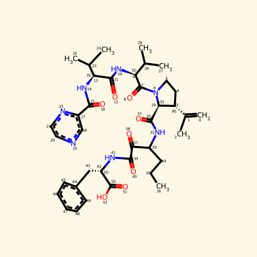 C=C(C)[C@H]1CCN(C(=O)[C@@H](NC(=O)[C@@H](NC(=O)c2cnccn2)C(C)C)C(C)C)[C@@H]1C(=O)NC(CCC)C(=O)C(=O)N[C@@H](Cc1ccccc1)C(=O)O